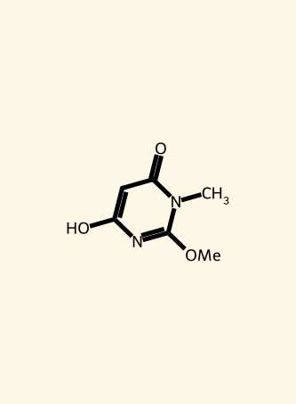 COc1nc(O)cc(=O)n1C